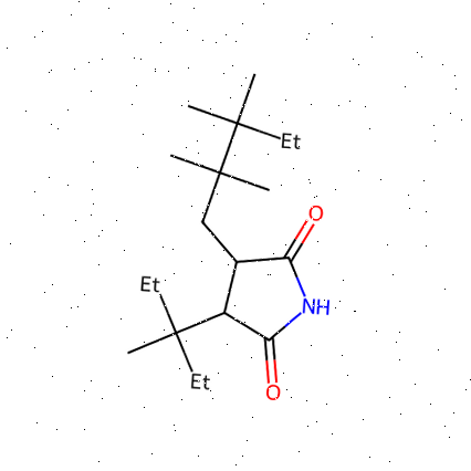 CCC(C)(CC)C1C(=O)NC(=O)C1CC(C)(C)C(C)(C)CC